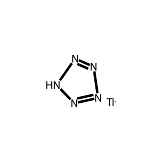 [Tl].n1nn[nH]n1